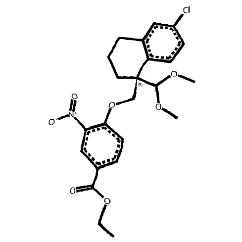 CCOC(=O)c1ccc(OC[C@@]2(C(OC)OC)CCCc3cc(Cl)ccc32)c([N+](=O)[O-])c1